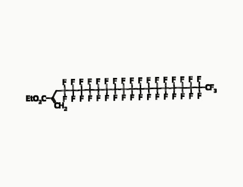 C=C(CC(F)(F)C(F)(F)C(F)(F)C(F)(F)C(F)(F)C(F)(F)C(F)(F)C(F)(F)C(F)(F)C(F)(F)C(F)(F)C(F)(F)C(F)(F)C(F)(F)C(F)(F)C(F)(F)C(F)(F)C(F)(F)F)C(=O)OCC